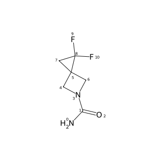 NC(=O)N1CC2(C1)CC2(F)F